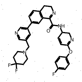 O=C(NC1C=CC(Oc2ccc(F)cc2)=NC1)C1=NCCc2ccc(-c3cncc(CN4CCC(F)(F)CC4)c3)cc21